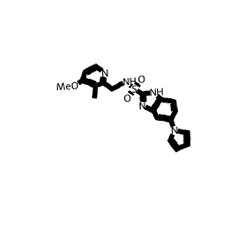 COc1ccnc(CNS(=O)(=O)c2nc3cc(-n4cccc4)ccc3[nH]2)c1C